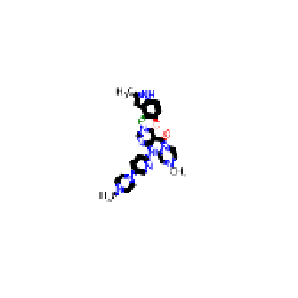 Cc1cc2c(F)c(OC3N=CN=C(Nc4ccc(N5CCN(C)CC5)cn4)C3C(=O)N3CCN(C)CC3)ccc2[nH]1